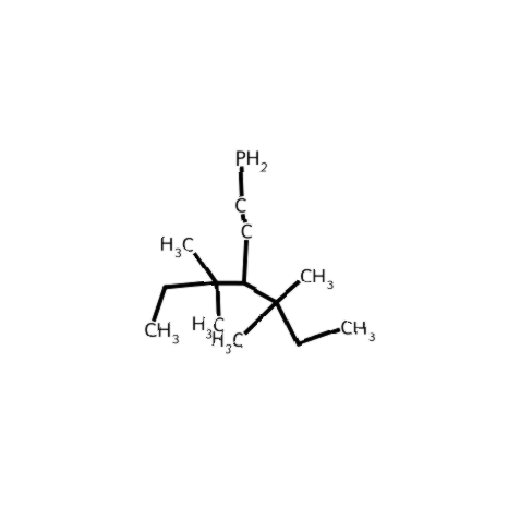 CCC(C)(C)C(CCP)C(C)(C)CC